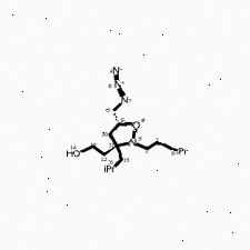 CC(C)CCN1O[C@@H](CN=[N+]=[N-])C[C@@]1(CCO)CC(C)C